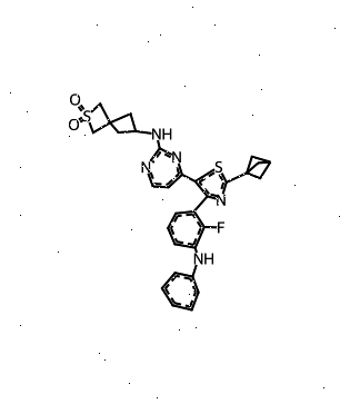 O=S1(=O)CC2(CC(Nc3nccc(-c4sc(C56CC(C5)C6)nc4-c4cccc(Nc5ccccc5)c4F)n3)C2)C1